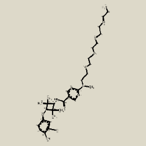 CN(CCOCCOCCOCCOCCN)c1ncc(C(=O)N[C@H]2C(C)(C)[C@H](Oc3ccc(C#N)c(Cl)c3)C2(C)C)cn1